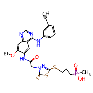 C#Cc1cccc(Nc2ncnc3cc(OCC)c(NC(=O)Cn4nc(SCCCP(C)(=O)O)sc4=S)cc23)c1